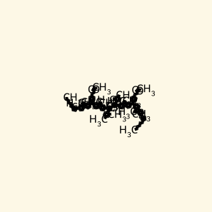 CCCCCCc1ccc(-c2ccc3c(c2)C(C)(C)c2cc(N(c4ccc(CCC(=O)OC)cc4)c4ccc5c(c4)C(C)(C)c4cc(-c6sc(-c7cc(-c8ccc(C)cc8C)c(-c8ccc9c(c8)C(C)(C)c8cc(N(c%10ccc(CCC(=O)OC)cc%10)c%10ccc%11c(c%10)C(C)(C)c%10cc(-c%12ccc(CCCCCC)s%12)ccc%10-%11)ccc8-9)s7)cc6-c6ccc(C)cc6C)ccc4-5)ccc2-3)s1